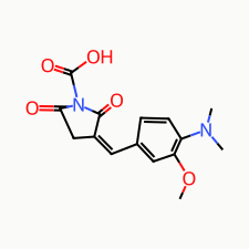 COc1cc(/C=C2/CC(=O)N(C(=O)O)C2=O)ccc1N(C)C